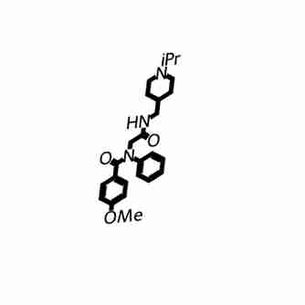 COc1ccc(C(=O)N(CC(=O)NCC2CCN(C(C)C)CC2)c2ccccc2)cc1